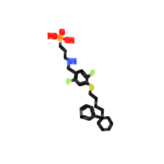 O=P(O)(O)CCCNCc1cc(F)c(SCCCCC2(c3ccccc3)CCCCC2)cc1F